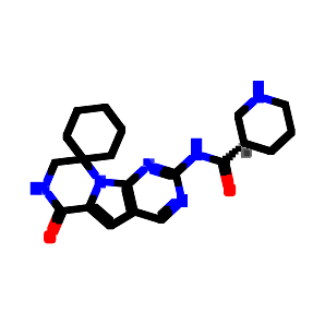 O=C1NCC2(CCCCC2)n2c1cc1cnc(NC(=O)[C@H]3CCCNC3)nc12